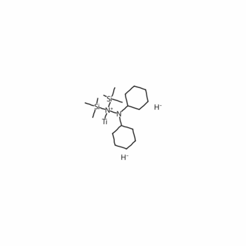 C[Si](C)(C)[N+]([Ti])(N(C1CCCCC1)C1CCCCC1)[Si](C)(C)C.[H-].[H-]